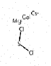 ClSCl.[Cs].[Ga].[Mg]